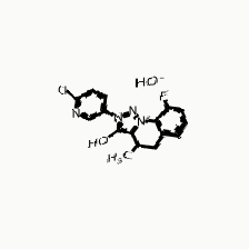 CC1Cc2cccc(F)c2-[n+]2nn(-c3ccc(Cl)nc3)c(O)c21.[OH-]